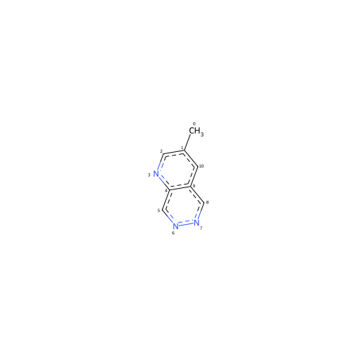 Cc1cnc2cnncc2c1